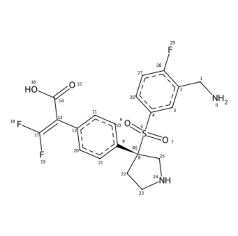 NCc1cc(S(=O)(=O)[C@@]2(c3ccc(C(C(=O)O)=C(F)F)cc3)CCNC2)ccc1F